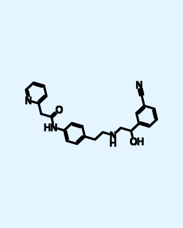 N#Cc1cccc(C(O)CNCCc2ccc(NC(=O)Cc3ccccn3)cc2)c1